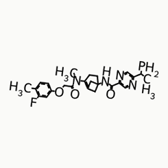 Cc1ccc(OCC(=O)N(C)C2=C3CC(NC(=O)c4cnc(C(C)P)cn4)(CC2)C3)cc1F